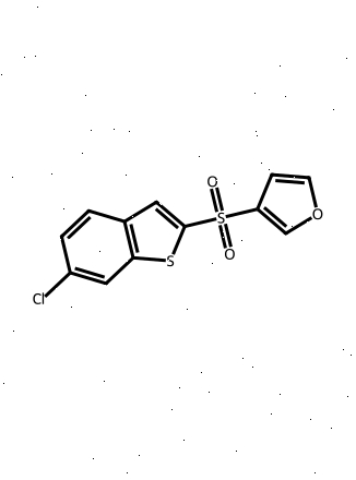 O=S(=O)(c1ccoc1)c1cc2ccc(Cl)cc2s1